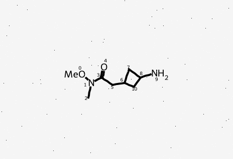 CON(C)C(=O)CC1CC(N)C1